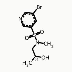 C[C@H](O)CN(C)S(=O)(=O)c1cncc(Br)c1